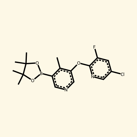 Cc1c(Oc2ncc(Cl)cc2F)cncc1B1OC(C)(C)C(C)(C)O1